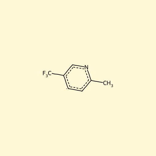 Cc1c[c]c(C(F)(F)F)cn1